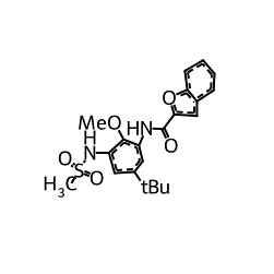 COc1c(NC(=O)c2cc3ccccc3o2)cc(C(C)(C)C)cc1NS(C)(=O)=O